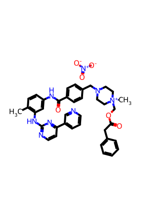 Cc1ccc(NC(=O)c2ccc(CN3CC[N+](C)(COC(=O)Cc4ccccc4)CC3)cc2)cc1Nc1nccc(-c2cccnc2)n1.O=[N+]([O-])[O-]